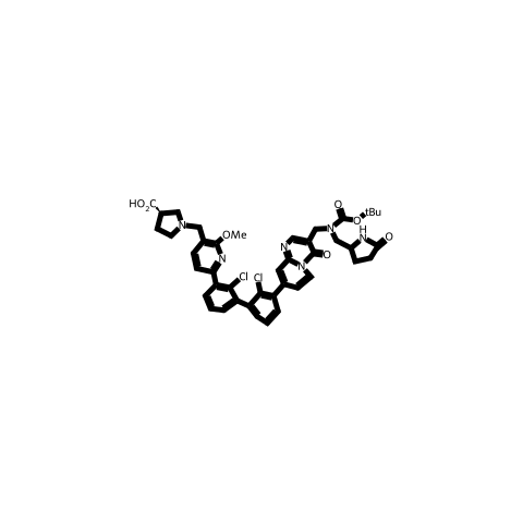 COc1nc(-c2cccc(-c3cccc(-c4ccn5c(=O)c(CN(CC6CCC(=O)N6)C(=O)OC(C)(C)C)cnc5c4)c3Cl)c2Cl)ccc1CN1CC[C@H](C(=O)O)C1